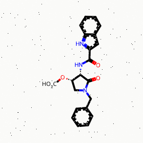 O=C(O)O[C@H]1CN(Cc2ccccc2)C(=O)[C@H]1NC(=O)c1cc2ccccc2[nH]1